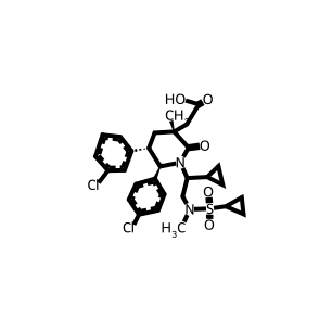 CN(CC(C1CC1)N1C(=O)[C@@](C)(CC(=O)O)C[C@@H](c2cccc(Cl)c2)[C@@H]1c1ccc(Cl)cc1)S(=O)(=O)C1CC1